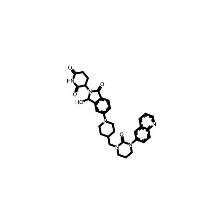 O=C1CCC(N2C(=O)c3ccc(N4CCC(CN5CCCN(c6ccc7ncccc7c6)C5=O)CC4)cc3C2O)C(=O)N1